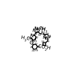 Cc1nc(-c2nnn(C)c2CNc2cnn(CC3CCC3)n2)ccc1OC1CCCC(C(=O)O)C1